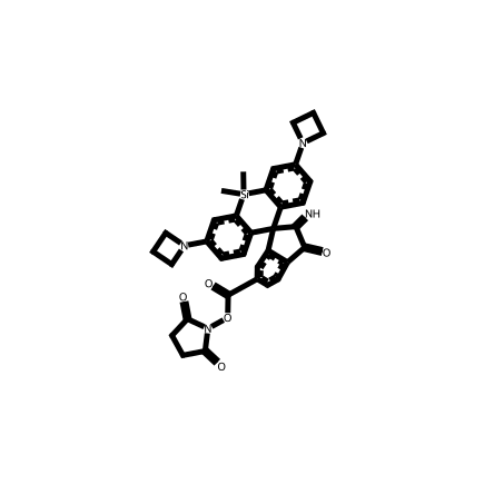 C[Si]1(C)c2cc(N3CCC3)ccc2C2(C(=N)C(=O)c3ccc(C(=O)ON4C(=O)CCC4=O)cc32)c2ccc(N3CCC3)cc21